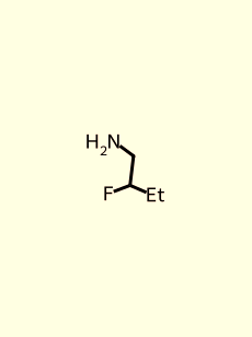 CCC(F)CN